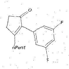 CCCCCC1=C(c2cc(F)cc(F)c2)C(=O)CC1